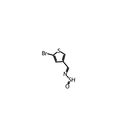 O=[SH]/N=C/c1csc(Br)c1